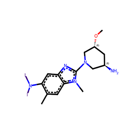 CO[C@@H]1C[C@@H](N)CN(c2nc3cc(N(I)I)c(C)cc3n2C)C1